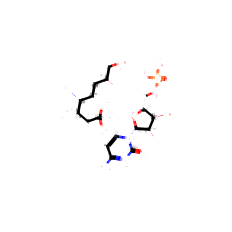 N[C@H]1[C@H]([C@H](O)[C@H](O)CO)O[C@](O)(C(=O)O)C[C@@H]1O.Nc1ccn([C@H]2O[C@H](COP(=O)(O)O)[C@@H](O)[C@H]2O)c(=O)n1